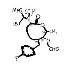 COC(N(C(=O)O)[C@H]1CCC[C@H](Cc2ccc(F)cc2)[C@@H](OCC=O)[C@H](C)OC1=O)C(C)(C)C